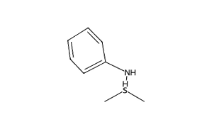 C[SH](C)Nc1ccccc1